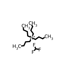 CCCC[N+](CCCC)(CCCC)CCCC.FC(F)F